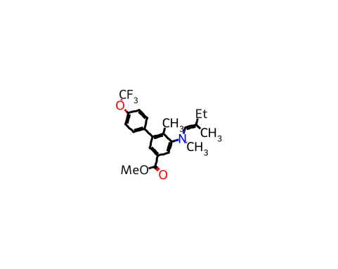 CC/C(C)=C/N(C)c1cc(C(=O)OC)cc(-c2ccc(OC(F)(F)F)cc2)c1C